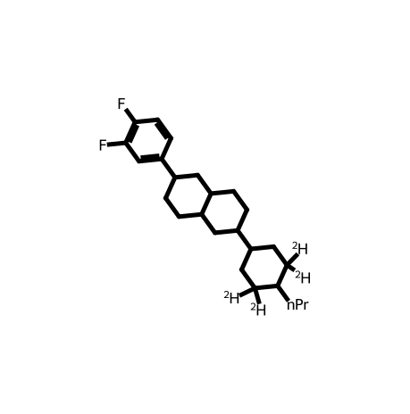 [2H]C1([2H])CC(C2CCC3CC(c4ccc(F)c(F)c4)CCC3C2)CC([2H])([2H])C1CCC